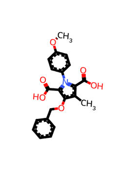 COc1ccc(-n2c(C(=O)O)c(C)c(OCc3ccccc3)c2C(=O)O)cc1